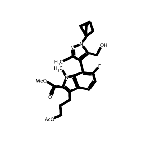 COC(=O)c1c(CCCOC(C)=O)c2ccc(F)c(-c3c(C)nn(C45CC(C4)C5)c3CO)c2n1C